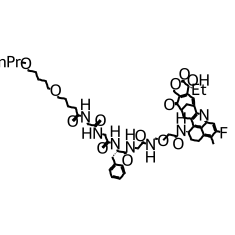 CCCOCCCCCOCCCCC(=O)NCC(=O)NCC(=O)N[C@@H](Cc1ccccc1)C(=O)NCC(=O)NCOCC(=O)N[C@H]1CCc2c(C)c(F)cc3nc4c(c1c23)CC1CC4=CC2=C(COC(=O)[C@]2(O)CC)C1=O